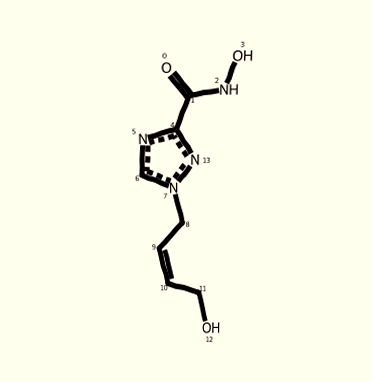 O=C(NO)c1ncn(C/C=C\CO)n1